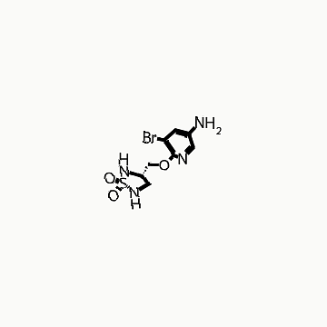 Nc1cnc(OC[C@@H]2CNS(=O)(=O)N2)c(Br)c1